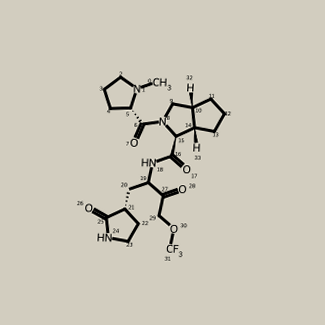 CN1CCC[C@H]1C(=O)N1C[C@@H]2CCC[C@@H]2[C@H]1C(=O)NC(C[C@@H]1CCNC1=O)C(=O)COC(F)(F)F